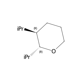 CC(C)[C@H]1CCCO[C@@H]1C(C)C